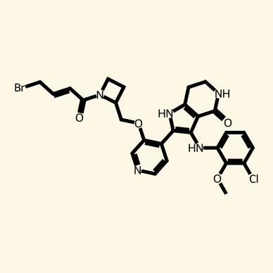 COc1c(Cl)cccc1Nc1c(-c2ccncc2OCC2CCN2C(=O)/C=C/CBr)[nH]c2c1C(=O)NCC2